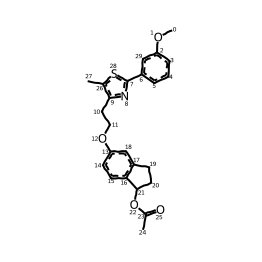 COc1cccc(-c2nc(CCOc3ccc4c(c3)CCC4OC(C)=O)c(C)s2)c1